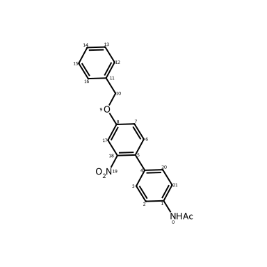 CC(=O)Nc1ccc(-c2ccc(OCc3ccccc3)cc2[N+](=O)[O-])cc1